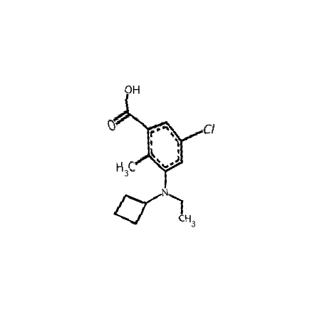 CCN(c1cc(Cl)cc(C(=O)O)c1C)C1CCC1